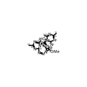 COC1N=C2N3C(N=NC4N=C(C)N=C(C)[N+]24O)N1N=NC1N=C(C)N=C(C)[N+]13O